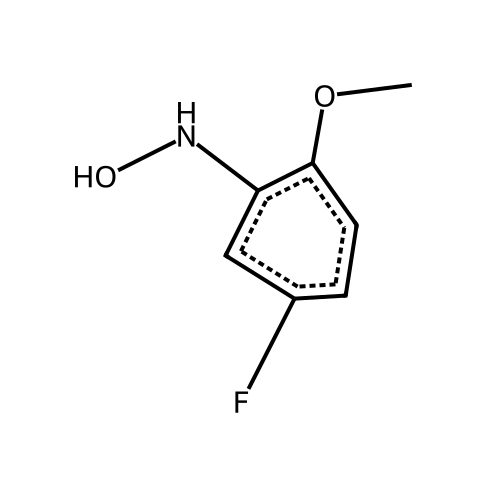 COc1ccc(F)cc1NO